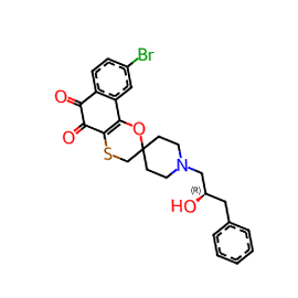 O=C1C(=O)c2ccc(Br)cc2C2=C1SCC1(CCN(C[C@H](O)Cc3ccccc3)CC1)O2